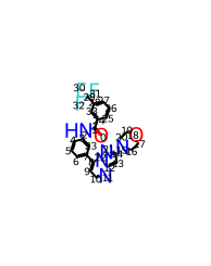 O=C(Nc1cccc(-c2ccnc3cc(N4CCOCC4)nn23)c1)c1cccc(C(F)(F)F)c1